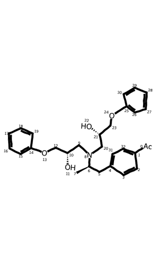 CC(=O)c1ccc(C[C@@H](C)N(C[C@H](O)COc2ccccc2)C[C@H](O)COc2ccccc2)cc1